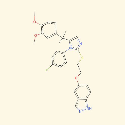 COc1ccc(C(C)(C)c2cnc(SCCOc3ccc4[nH]ncc4c3)n2-c2ccc(F)cc2)cc1OC